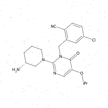 CC(C)Oc1cnc(N2CCC[C@@H](N)C2)n(Cc2cc(Cl)ccc2C#N)c1=O